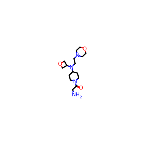 NCC(=O)N1CCC(N(CCN2CCOCC2)C2COC2)CC1